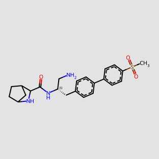 CS(=O)(=O)c1ccc(-c2ccc(C[C@@H](CN)NC(=O)C3NC4CCC3C4)cc2)cc1